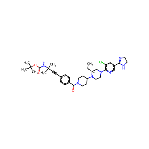 CC[C@H]1CN(c2ncc(C3=NCCN3)cc2Cl)CCN1C1CCN(C(=O)c2ccc(C#CC(C)(C)NC(=O)OC(C)(C)C)cc2)CC1